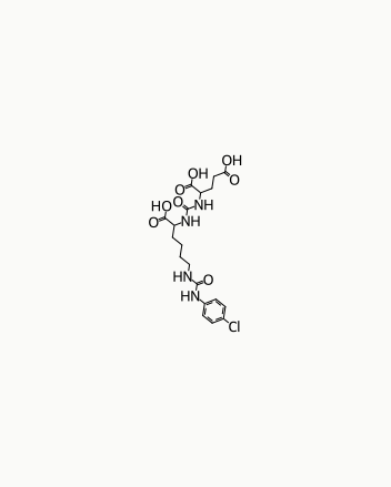 O=C(O)CCC(NC(=O)NC(CCCCNC(=O)Nc1ccc(Cl)cc1)C(=O)O)C(=O)O